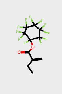 C=C(CC)C(=O)OC1(F)C(F)(F)C(F)(F)C(F)(F)C(F)(F)C1(F)F